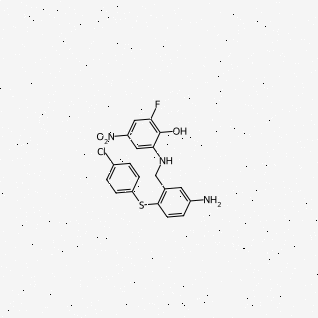 Nc1ccc(Sc2ccc(Cl)cc2)c(CNc2cc([N+](=O)[O-])cc(F)c2O)c1